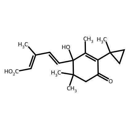 CC(C=CC1(O)C(C)=C(C2(C)CC2)C(=O)CC1(C)C)=CC(=O)O